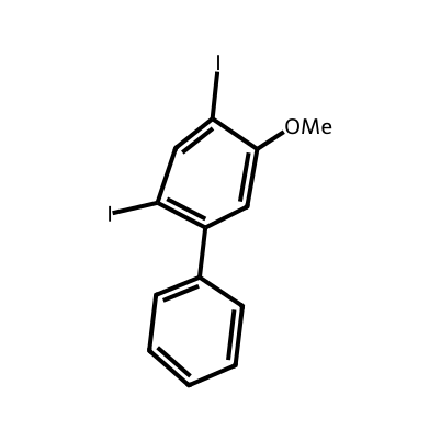 COc1cc(-c2ccccc2)c(I)cc1I